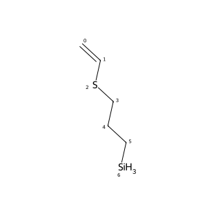 C=CSCCC[SiH3]